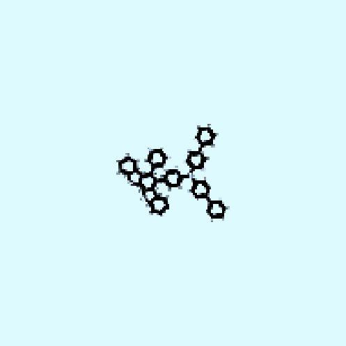 c1ccc(-c2ccc(N(c3ccc(-c4ccccc4)cc3)c3ccc(-c4c(-c5ccccc5)c5c6ccccc6oc5c5oc6ccccc6c45)cc3)cc2)cc1